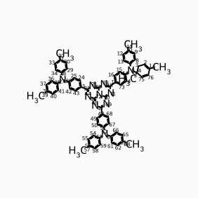 CC1=CCC(C)(N(c2ccc(C)cc2)c2ccc(C3=NC4=NC(c5ccc(N(c6ccc(C)cc6)c6ccc(C)cc6)cc5)=NC5=NC(c6ccc(N(c7ccc(C)cc7)c7ccc(C)cc7)cc6)=NC(=N3)N54)cc2)C=C1